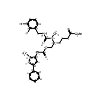 COC(=O)CCC[C@@H](COC(=O)Nc1cc(-c2ccccc2)nn1C)N(C)C(=O)NCc1cccc(F)c1F